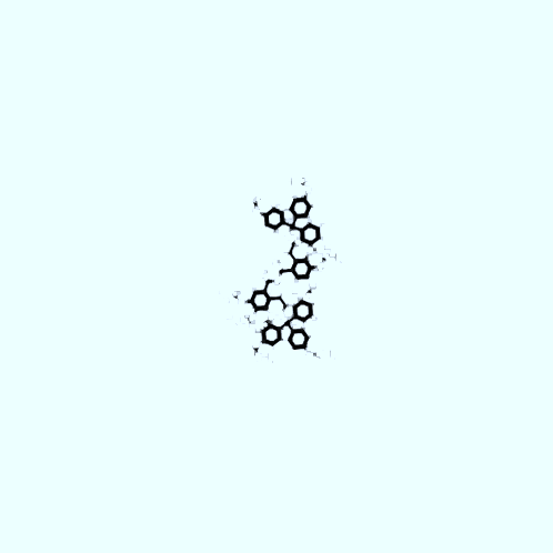 COc1ccc(C(OCCc2c(C(=O)OC(=O)c3cc(OC)c(OC)c(OC)c3CCOC(c3ccccc3)(c3ccc(OC)cc3)c3ccc(OC)cc3)cc(OC)c(OC)c2OC)(c2ccccc2)c2ccc(OC)cc2)cc1